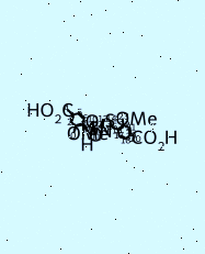 COc1cc(C(=O)O)ccc1NS(=O)(=O)c1csc(-c2ccc(C(=O)O)cc2OC)n1